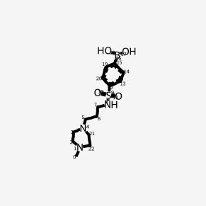 CN1CCN(CCCNS(=O)(=O)c2ccc(B(O)O)cc2)CC1